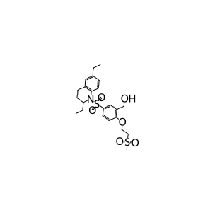 CCc1ccc2c(c1)CCC(CC)N2S(=O)(=O)c1ccc(OCCS(C)(=O)=O)c(CO)c1